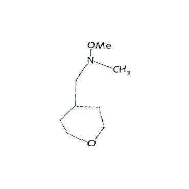 CON(C)CC1CCOCC1